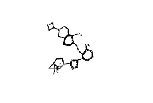 Cc1cccc(-c2csc(N3CC[C@@]4(C(=O)O)C[C@H]4C3)n2)c1OCc1ccc2c(c1C)CCN(C1COC1)C2